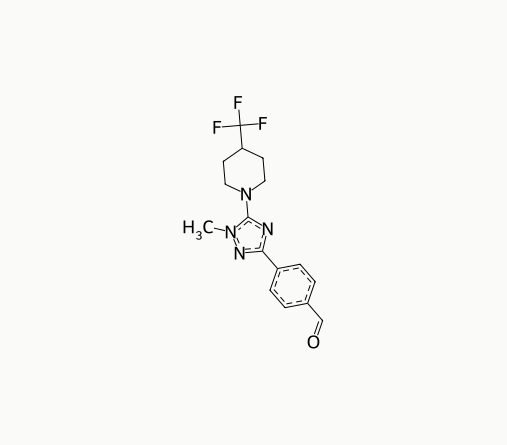 Cn1nc(-c2ccc(C=O)cc2)nc1N1CCC(C(F)(F)F)CC1